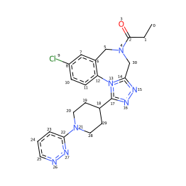 CCC(=O)N1Cc2cc(Cl)ccc2-n2c(nnc2C2CCN(c3cccnn3)CC2)C1